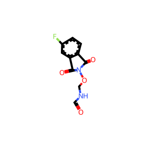 O=CNCON1C(=O)c2ccc(F)cc2C1=O